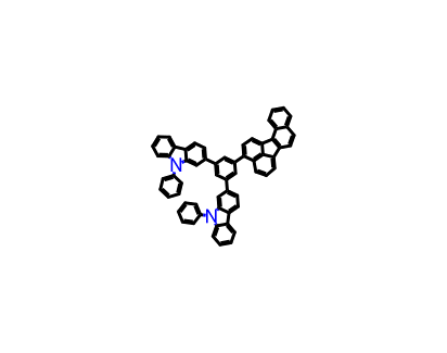 c1ccc(-n2c3ccccc3c3ccc(-c4cc(-c5ccc6c7ccccc7n(-c7ccccc7)c6c5)cc(-c5ccc6c7c(cccc57)-c5ccc7ccccc7c5-6)c4)cc32)cc1